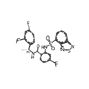 C[C@@H](NC(=O)c1ccc(F)cc1NS(=O)(=O)c1cccc2nsnc12)c1ccc(F)cc1F